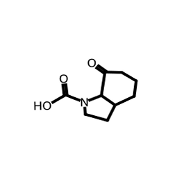 O=C1CCCC2CCN(C(=O)O)C12